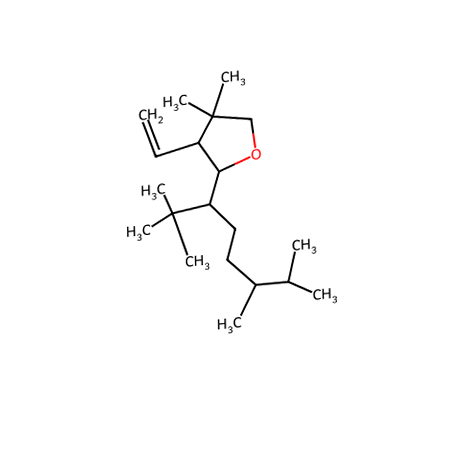 C=CC1C(C(CCC(C)C(C)C)C(C)(C)C)OCC1(C)C